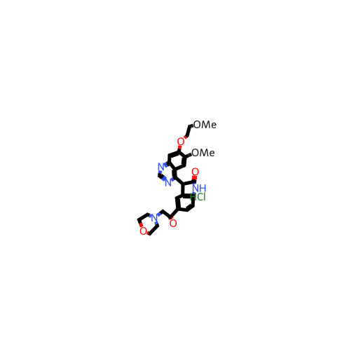 COCCOc1cc2ncnc(C3C(=O)Nc4ccc(C(=O)CN5CCOCC5)cc43)c2cc1OC.Cl